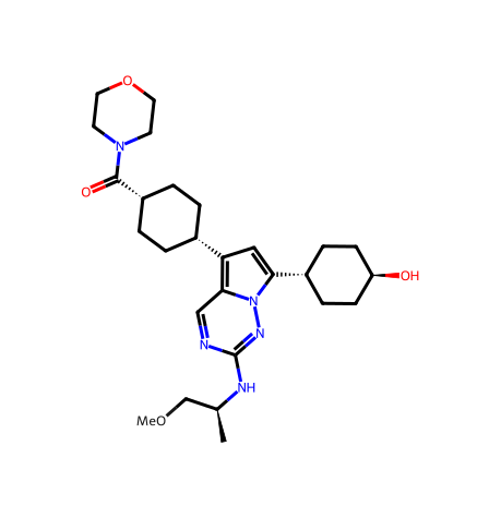 COC[C@H](C)Nc1ncc2c([C@H]3CC[C@@H](C(=O)N4CCOCC4)CC3)cc([C@H]3CC[C@H](O)CC3)n2n1